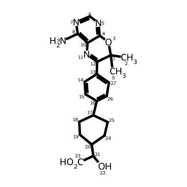 CC1(C)Oc2ncnc(N)c2N=C1c1ccc(C2CCC(C(O)C(=O)O)CC2)cc1